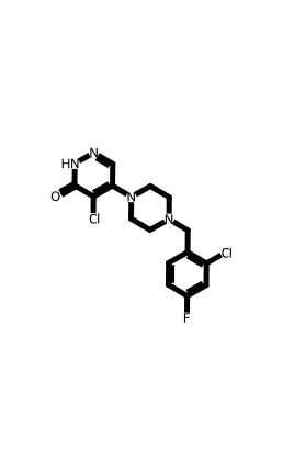 O=c1[nH]ncc(N2CCN(Cc3ccc(F)cc3Cl)CC2)c1Cl